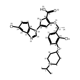 CC(C)N1CCC(Oc2cccc([C@@H](C)Oc3cc(-n4cnc5cc(Cl)ccc54)sc3C(=O)O)c2Cl)CC1